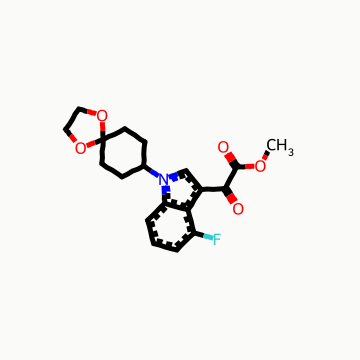 COC(=O)C(=O)c1cn(C2CCC3(CC2)OCCO3)c2cccc(F)c12